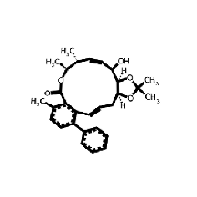 Cc1ccc(-c2ccccc2)c2c1C(=O)O[C@@H](C)[C@H](C)/C=C\C(O)[C@H]1OC(C)(C)O[C@H]1C/C=C/2